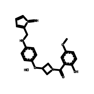 COc1ccc(O)c(C(=O)N2CC(Oc3ccc(NCC4=CC=CS4=N)cc3)C2)c1.Cl